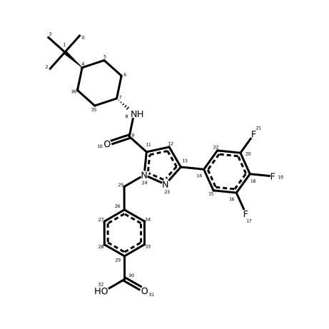 CC(C)(C)[C@H]1CC[C@H](NC(=O)c2cc(-c3cc(F)c(F)c(F)c3)nn2Cc2ccc(C(=O)O)cc2)CC1